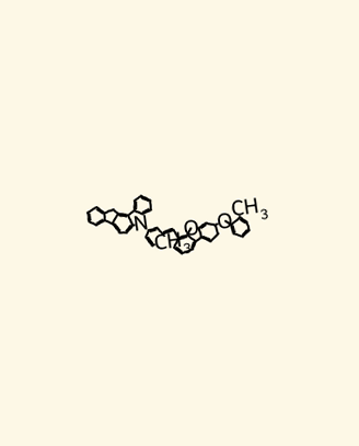 C\C=C/C(=C\C=C\c1cccc2c3c(oc12)=CC(Oc1ccccc1C)CC=3)n1c2ccccc2c2c3c(ccc21)-c1ccccc1C3